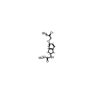 CC(C)(C)OC(=O)COc1ccc2c(c1)CC(NC(=O)OC(C)(C)C)C2